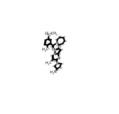 Cc1ccc([S+](C)[O-])cc1C(=O)N1CCCCC[C@H]1c1cc2nc(N3CCC(N)C3)c(C)cn2n1